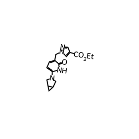 CCOC(=O)c1cnn(Cc2ccc(N3CC4CC4C3)[nH]c2=O)c1